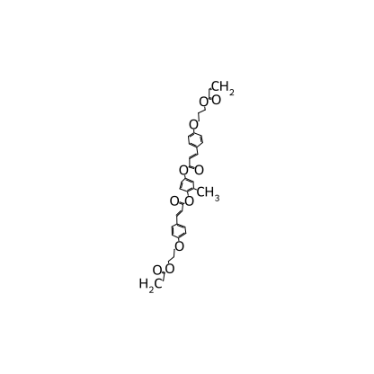 C=CC(=O)OCCCOc1ccc(/C=C/C(=O)Oc2ccc(OC(=O)/C=C/c3ccc(OCCCOC(=O)C=C)cc3)c(C)c2)cc1